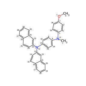 COc1ccc(N(C)c2ccc(N(c3ccc4ccccc4c3)c3ccc4ccccc4c3)cc2)cc1